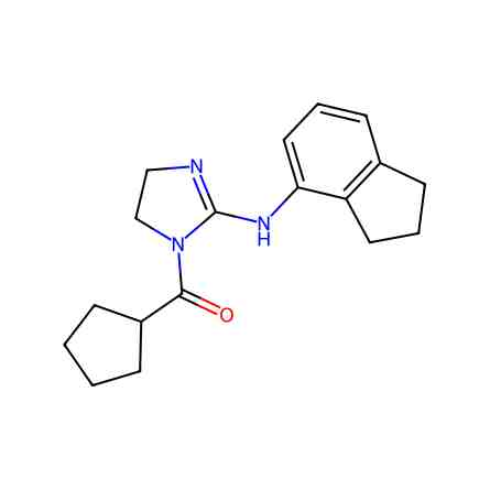 O=C(C1CCCC1)N1CCN=C1Nc1cccc2c1CCC2